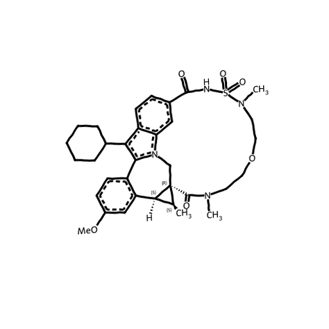 COc1ccc2c(c1)[C@@H]1[C@H](C)[C@]13Cn1c-2c(C2CCCCC2)c2ccc(cc21)C(=O)NS(=O)(=O)N(C)CCOCCN(C)C3=O